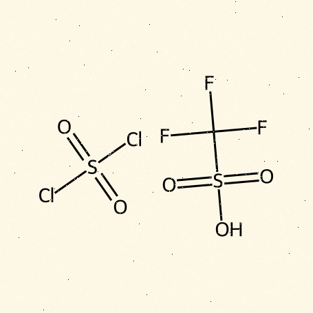 O=S(=O)(Cl)Cl.O=S(=O)(O)C(F)(F)F